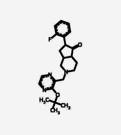 CC(C)(C)Oc1nccnc1CN1CCC2C(=O)C(c3ccccc3F)CC2C1